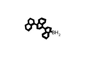 Bc1ccc(-c2ccc(C3=C4C=CCCC4CCC3)c3ccccc23)c2ccccc12